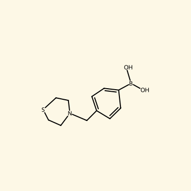 OB(O)c1ccc(CN2CCSCC2)cc1